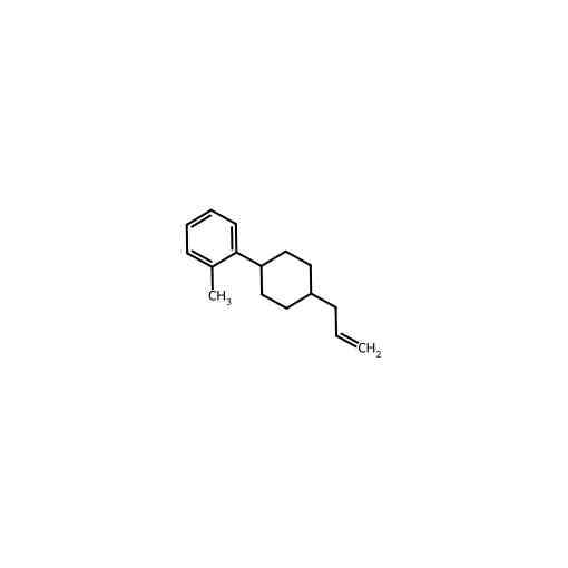 C=CCC1CCC(c2ccccc2C)CC1